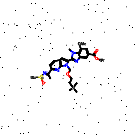 COc1cc(C(=O)OC(C)C)cc2nc(-c3cc4ccc(/C(C)=N/[S@@+]([O-])C(C)(C)C)nc4n3COCC[Si](C)(C)C)n(C)c12